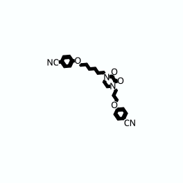 N#Cc1ccc(OCCCCCCN2CCN(CCCOc3ccc(C#N)cc3)C(=O)C2=O)cc1